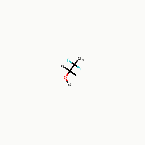 CCOC(C)(CC)C(F)(F)C(F)(F)F